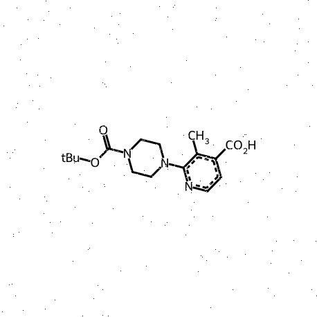 Cc1c(C(=O)O)ccnc1N1CCN(C(=O)OC(C)(C)C)CC1